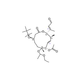 CCOC(C)O[C@]1(C)CC[C@@H](O[Si](C)(C)C(C)(C)C)CC(=O)O[C@H](/C(C)=C/C=O)[C@@H](C)/C=C/[C@@H]1OC(C)=O